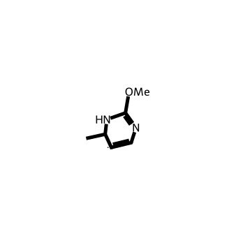 COC1=NC=[C]C(C)N1